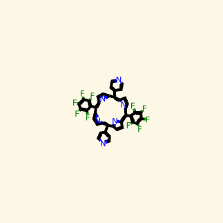 Fc1c(F)c(F)c(C2=C3C=CC(=N3)C(c3ccncc3)=C3C=CC(=N3)C(c3c(F)c(F)c(F)c(F)c3F)=C3C=CC(=N3)C(c3ccncc3)=C3C=CC2=N3)c(F)c1F